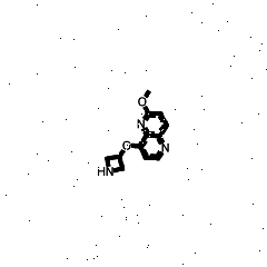 COc1ccc2nccc(OC3CNC3)c2n1